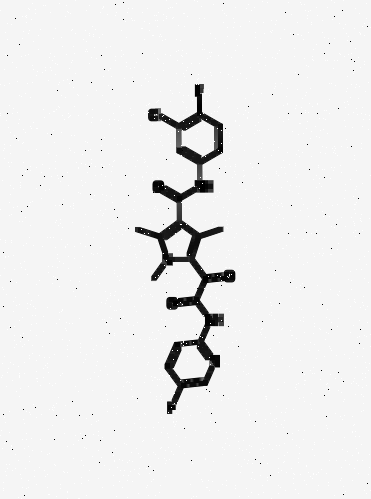 Cc1c(C(=O)Nc2ccc(F)c(Cl)c2)c(C)n(C)c1C(=O)C(=O)Nc1ccc(F)cn1